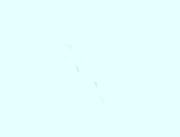 CC(C)(CN)C/C=C/CC/C=C/CC(N)C1CCCCC1